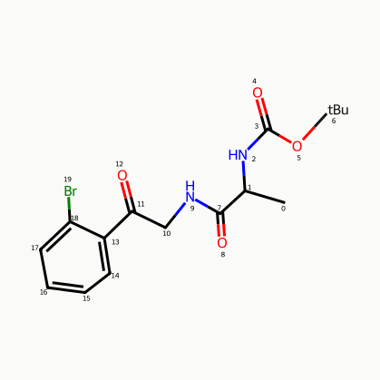 CC(NC(=O)OC(C)(C)C)C(=O)NCC(=O)c1ccccc1Br